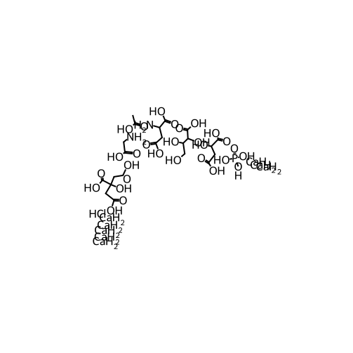 CC(=O)O.Cl.NC(CC(=O)O)C(=O)O.NCC(=O)O.O=C(O)C(O)C(O)CO.O=C(O)CC(O)(CC(=O)O)C(=O)O.O=C(O)CC(O)C(=O)O.O=P(O)(O)O.[CaH2].[CaH2].[CaH2].[CaH2].[CaH2].[CaH2].[CaH2].[CaH2]